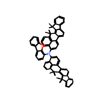 CC1(C)c2ccccc2-c2ccc3c(c21)C(C)(C)c1cccc2c(N(c4ccc5c6c(cccc46)C(C)(C)c4c-5ccc5c4C(C)(C)c4ccccc4-5)c4cccc5c4oc4ccccc45)ccc-3c12